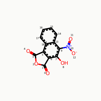 O=C1OC(=O)c2c1c(O)c([N+](=O)[O-])c1ccccc21